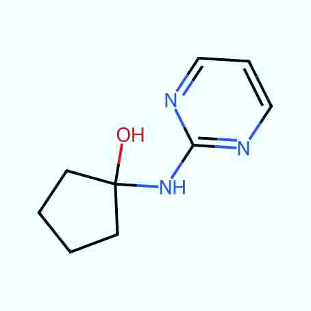 OC1(Nc2ncccn2)CCCC1